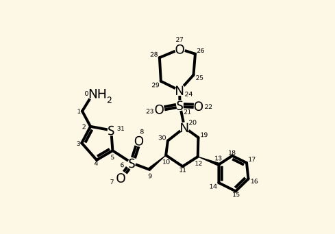 NCc1ccc(S(=O)(=O)C[C@@H]2C[C@H](c3ccccc3)CN(S(=O)(=O)N3CCOCC3)C2)s1